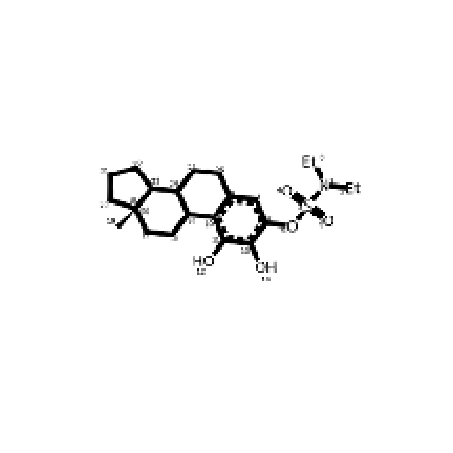 CCN(CC)S(=O)(=O)Oc1cc2c(c(O)c1O)C1CC[C@]3(C)CCCC3C1CC2